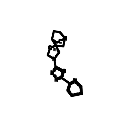 c1ccc(-c2nnc(N3CO[C@]4(CN5CCC4CC5)C3)o2)nc1